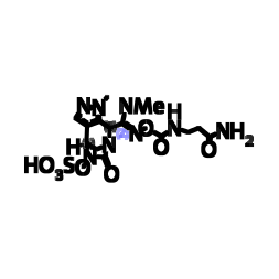 CN/C(=N\OC(=O)NCCC(N)=O)[C@@H]1c2c(cnn2C)[C@H]2CN1C(=O)N2OS(=O)(=O)O